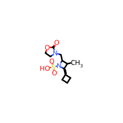 CC1C(=C2CCC2)N(S(=O)(=O)O)C1CN1CCOC1=O